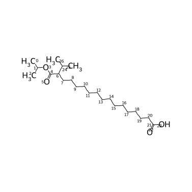 CC(C)OC(=O)C(CCCCCCCCCCCCCCC(=O)O)C(C)C